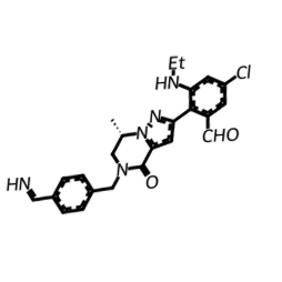 CCNc1cc(Cl)cc(C=O)c1-c1cc2n(n1)[C@@H](C)CN(Cc1ccc(C=N)cc1)C2=O